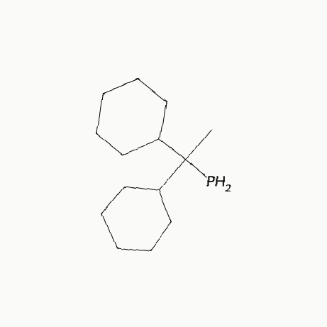 CC(P)(C1CCCCC1)C1CCCCC1